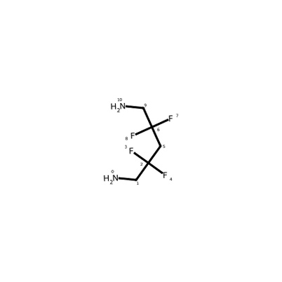 NCC(F)(F)CC(F)(F)CN